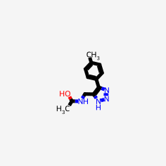 Cc1ccc(-c2nn[nH]c2CNC(C)O)cc1